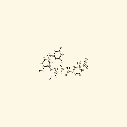 CCC[C@H](C[C@@H](C)NC(O)c1ccnc(N[SH](=O)=O)c1)NCc1nc(Nc2cc(C)nc(C)c2)ncc1CC